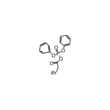 CC(C)CC(=O)OP(=O)(Oc1ccccc1)Oc1ccccc1